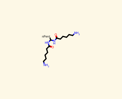 CCCCCC(NC(=O)CCCCCN)NC(=O)CCCCCN